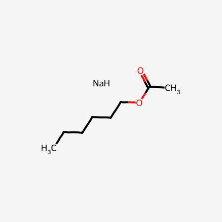 CCCCCCOC(C)=O.[NaH]